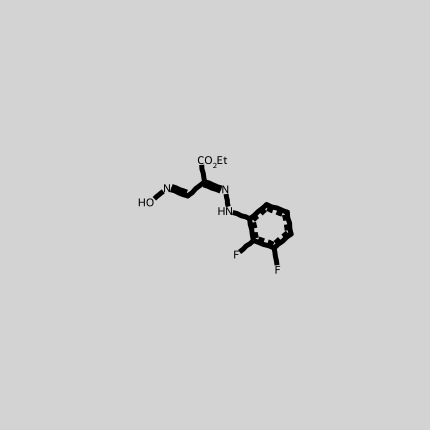 CCOC(=O)C(/C=N/O)=N/Nc1cccc(F)c1F